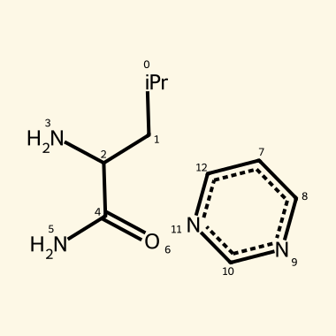 CC(C)CC(N)C(N)=O.c1cncnc1